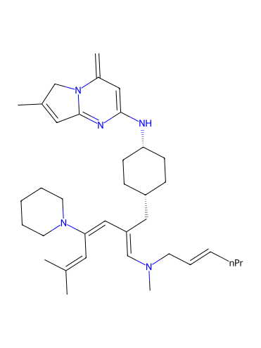 C=C1C=C(N[C@H]2CC[C@@H](CC(=C\N(C)C/C=C/CCC)/C=C(\C=C(C)C)N3CCCCC3)CC2)N=C2C=C(C)CN12